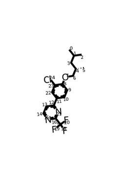 CC(C)C[C@H](C)COc1ccc(-c2ccnc(C(F)(F)F)n2)cc1Cl